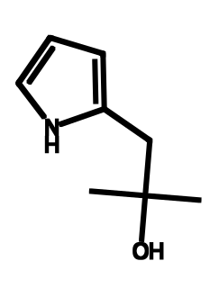 CC(C)(O)Cc1ccc[nH]1